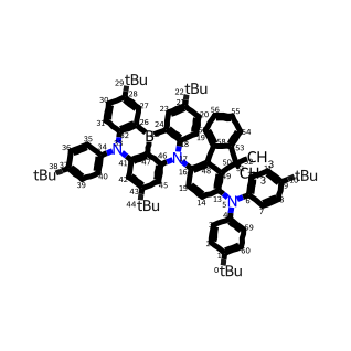 CC(C)(C)c1ccc(N(c2ccc(C(C)(C)C)cc2)c2ccc(N3c4ccc(C(C)(C)C)cc4B4c5cc(C(C)(C)C)ccc5N(c5ccc(C(C)(C)C)cc5)c5cc(C(C)(C)C)cc3c54)c3c2C(C)(C)c2ccccc2-3)cc1